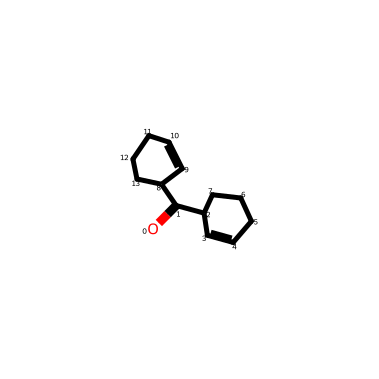 O=C(C1C=CCCC1)C1C=CCCC1